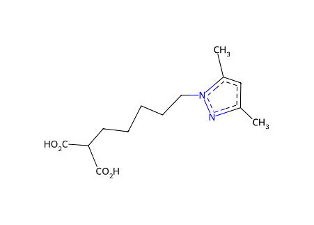 Cc1cc(C)n(CCCCCC(C(=O)O)C(=O)O)n1